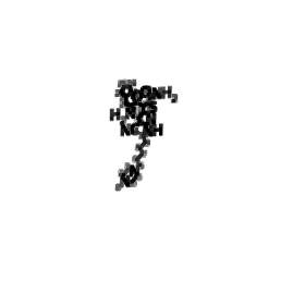 CN1CCN(CCCCCCNc2nc3sc(C(N)=O)c(-c4oc5cccc-5cc4N)c3cc2C#N)CC1